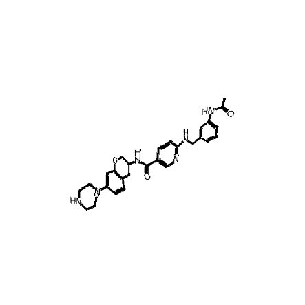 CC(=O)Nc1cccc(CNc2ccc(C(=O)NC3COc4cc(N5CCNCC5)ccc4C3)cn2)c1